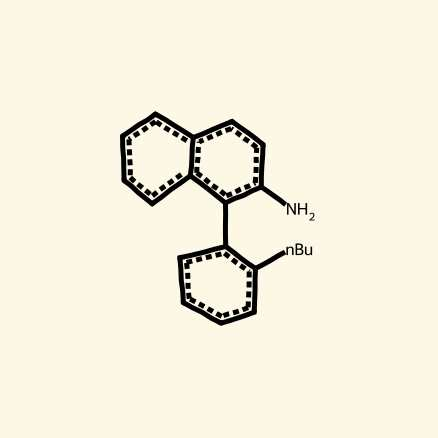 CCCCc1ccccc1-c1c(N)ccc2ccccc12